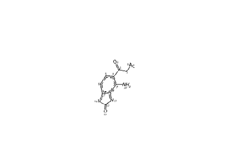 CC(=O)CC(=O)c1ccc2c(c1N)=NC(=O)N=2